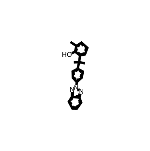 Cc1cccc(C(C)(C)c2ccc(-n3nc4ccccc4n3)cc2)c1O